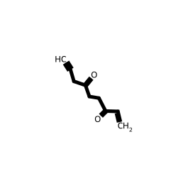 C#CCC(=O)CCC(=O)C=C